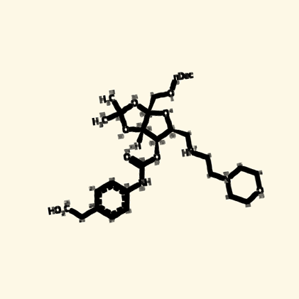 CCCCCCCCCCOC[C@@]12O[C@@H](CNCCN3CCOCC3)[C@@H](OC(=O)Nc3ccc(CC(=O)O)cc3)[C@@H]1OC(C)(C)O2